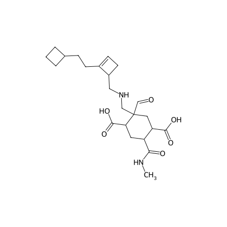 CNC(=O)C1CC(C(=O)O)C(C=O)(CNCC2CC=C2CCC2CCC2)CC1C(=O)O